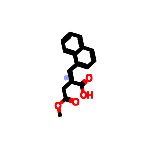 COC(=O)C/C(=C/c1cccc2ccccc12)C(=O)O